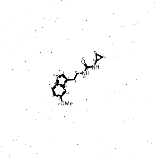 COc1ccc2scc(CCNC(=O)NC3CC3)c2c1